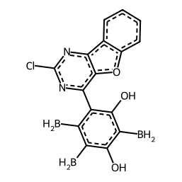 Bc1c(B)c(-c2nc(Cl)nc3c2oc2ccccc23)c(O)c(B)c1O